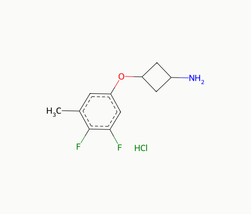 Cc1cc(OC2CC(N)C2)cc(F)c1F.Cl